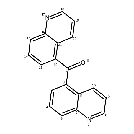 O=C(c1cccc2ncccc12)c1cccc2ncccc12